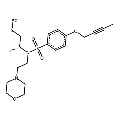 CC#CCOc1ccc(S(=O)(=O)N(CCN2CCOCC2)[C@H](C)CSC(C)=O)cc1